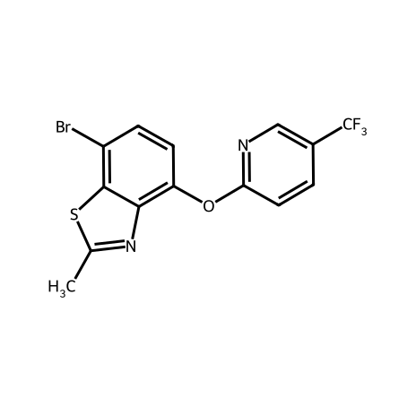 Cc1nc2c(Oc3ccc(C(F)(F)F)cn3)ccc(Br)c2s1